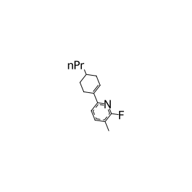 CCCC1CC=C(c2ccc(C)c(F)n2)CC1